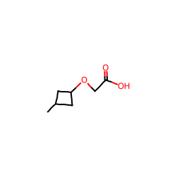 CC1CC(OCC(=O)O)C1